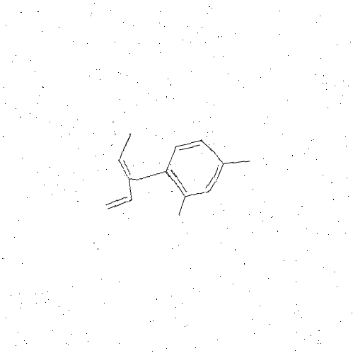 C=C/C(=C/C)c1ccc(C)cc1C